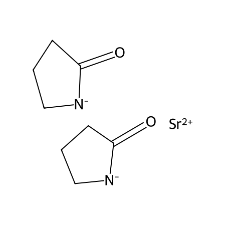 O=C1CCC[N-]1.O=C1CCC[N-]1.[Sr+2]